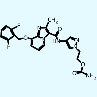 Cc1nc2c(OCc3c(F)cccc3F)cccn2c1C(=O)Nc1cnn(CCOC(N)=O)c1